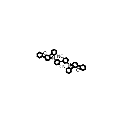 N#Cc1ccc(-n2c3ccccc3c3c4oc5ccccc5c4ccc32)cc1-c1cc(-n2c3ccccc3c3c4oc5ccccc5c4ccc32)ccc1C#N